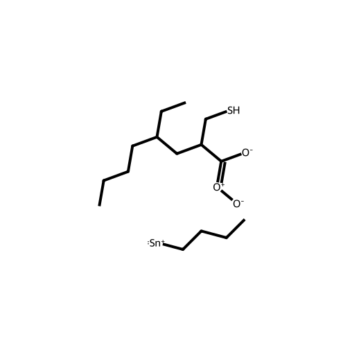 CCCCC(CC)CC(CS)C([O-])=[O+][O-].CCC[CH2][Sn+]